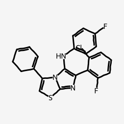 Fc1ccc(Nc2c(-c3c(F)cccc3Cl)nc3scc(C4=CC=CCC4)n23)cc1